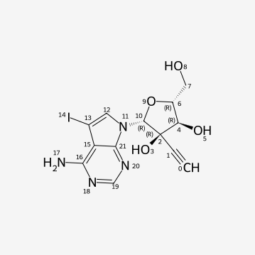 C#C[C@@]1(O)[C@H](O)[C@@H](CO)O[C@H]1n1cc(I)c2c(N)ncnc21